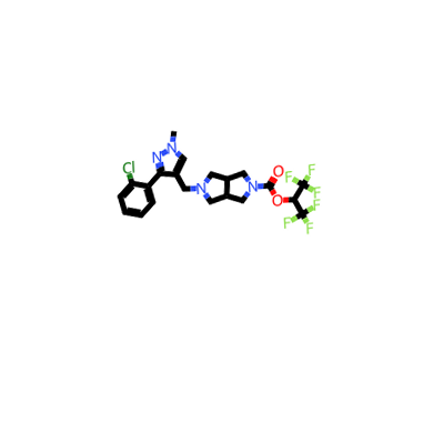 Cn1cc(CN2CC3CN(C(=O)OC(C(F)(F)F)C(F)(F)F)CC3C2)c(-c2ccccc2Cl)n1